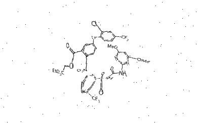 CCOC(=O)COC(=O)c1cc(Oc2ccc(C(F)(F)F)cc2Cl)ccc1[N+](=O)[O-].COc1cc(OC)nc(NC(=O)NS(=O)(=O)c2ncccc2C(F)(F)F)n1